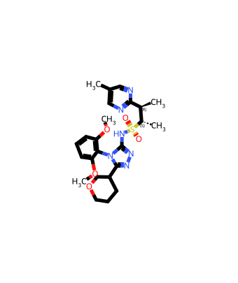 COc1cccc(OC)c1-n1c(NS(=O)(=O)[C@@H](C)[C@H](C)c2ncc(C)cn2)nnc1C1CCCOC1